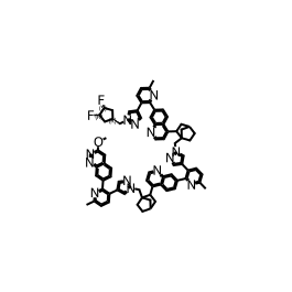 COc1cc2ccc(-c3nc(C)ccc3-c3cnn(CC45CCC(CC4c4ccnc6cc(-c7nc(C)ccc7-c7cnn(CC89CCC(CC8c8ccnc%10cc(-c%11nc(C)ccc%11-c%11cnn(C[C@H]%12C[C@@H](F)[C@@H](F)C%12)c%11)ccc8%10)C9)c7)ccc46)C5)c3)cc2nn1